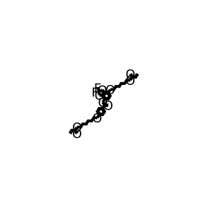 C=CC(=O)OCCCCCCOc1ccc(C(=O)Oc2ccc(OCCCCCCOC(=O)C=C)c3c2OC(F)(F)O3)cc1